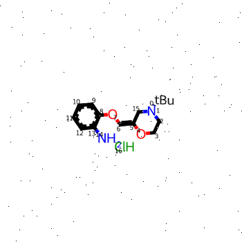 CC(C)(C)N1CCOC(=COc2ccccc2N)C1.Cl